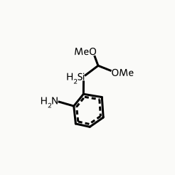 COC(OC)[SiH2]c1ccccc1N